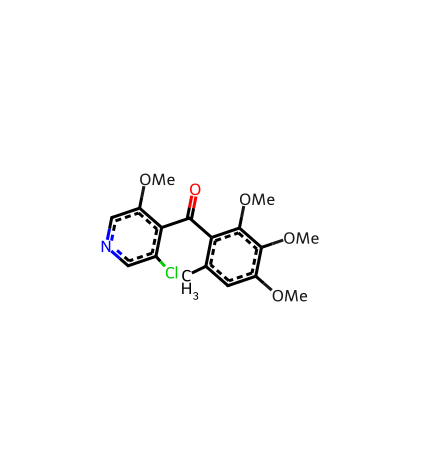 COc1cc(C)c(C(=O)c2c(Cl)cncc2OC)c(OC)c1OC